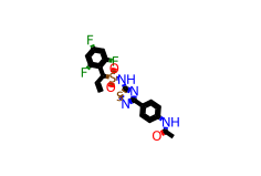 C=CC(c1c(F)cc(F)cc1F)S(=O)(=O)Nc1nc(-c2ccc(NC(C)=O)cc2)ns1